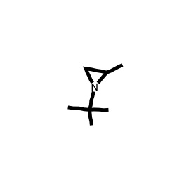 CC1CN1C(C)(C)C